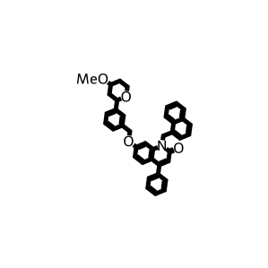 COC1CCOC(c2cccc(COc3ccc4c(-c5ccccc5)cc(=O)n(Cc5cccc6ccccc56)c4c3)c2)C1